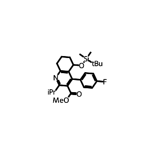 COC(=O)c1c(C(C)C)nc2c(c1-c1ccc(F)cc1)C(O[Si](C)(C)C(C)(C)C)CCC2